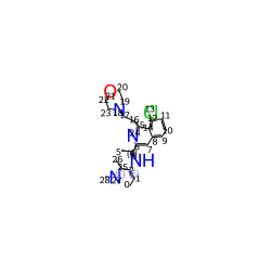 C/C=C(N[C@@H](C)c1cc2cccc(Cl)c2c(CCN2CCOCC2)n1)\C(C)=N\C